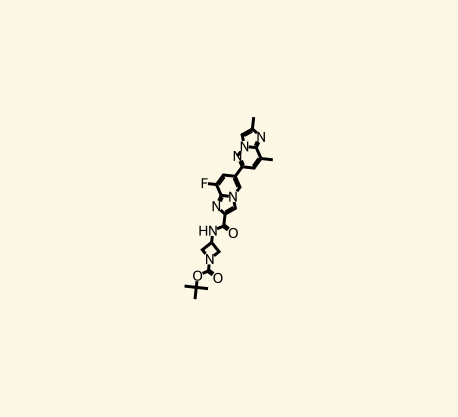 Cc1cn2nc(-c3cc(F)c4nc(C(=O)NC5CN(C(=O)OC(C)(C)C)C5)cn4c3)cc(C)c2n1